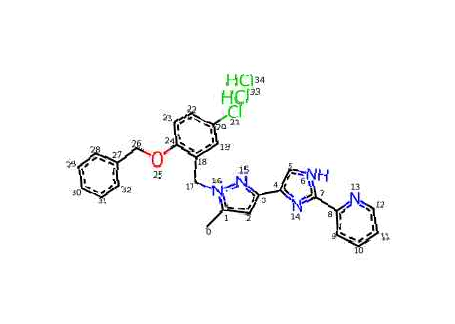 Cc1cc(-c2c[nH]c(-c3ccccn3)n2)nn1Cc1cc(Cl)ccc1OCc1ccccc1.Cl.Cl